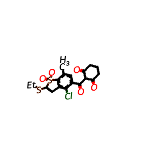 CCSC1Cc2c(Cl)c(C(=O)C3C(=O)CCCC3=O)cc(C)c2S1(=O)=O